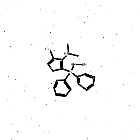 C[SiH](C)C1=C([Si](NC(C)(C)C)(c2ccccc2)c2ccccc2)CC=C1C(C)(C)C